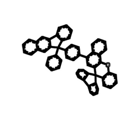 c1ccc(C2(c3ccc(-c4cc5c(c6ccccc46)Oc4ccccc4C54c5ccccc5-c5ccccc54)cc3)c3ccccc3-c3cc4ccccc4cc32)cc1